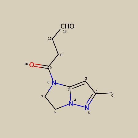 Cc1cc2n(n1)CCN2C(=O)CCC=O